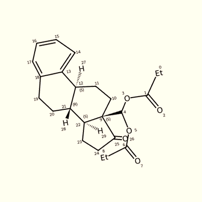 CCC(=O)OC(OC(=O)CC)[C@]12CC[C@@H]3c4ccccc4CC[C@H]3[C@@H]1CCC2=O